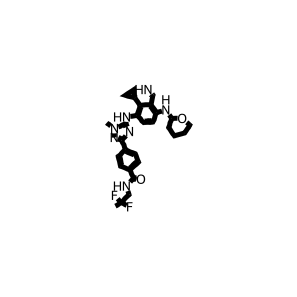 Cn1nc(-c2ccc(C(=O)NCC(C)(F)F)cc2)nc1Nc1ccc(NC2CCCCO2)c(C=N)c1C1CC1